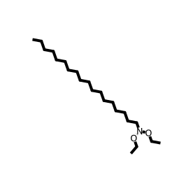 CCCCCCCCCCCCCCCCCCN(OCC)OCC